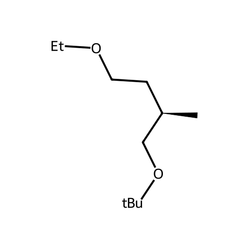 CCOCC[C@@H](C)COC(C)(C)C